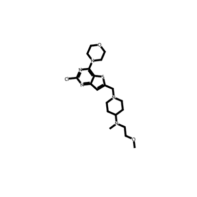 COCCN(C)C1CCN(Cc2cc3nc(Cl)nc(N4CCOCC4)c3s2)CC1